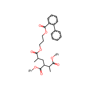 CC(C)OC(=O)C(C)C(CC(C)C(=O)OCCCOC(=O)c1ccccc1-c1ccccc1)C(=O)OC(C)C